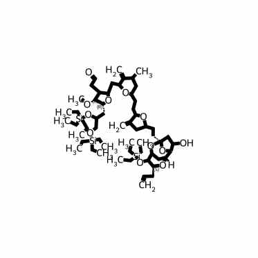 C=CC[C@@H]1O[C@@H]2CC(O[C@@]3(CCC4CC(=C)C(CCC5CC(C)C(=C)C(CC6O[C@H](CC(CO[Si](CC)(CC)CC)O[Si](CC)(CC)CC)[C@H](OC)C6CC=O)O5)O4)CC(O)C2O3)C1O[Si](CC)(CC)CC